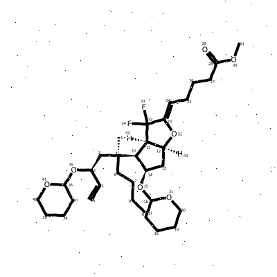 C=C[C@H](C[C@](C)(CCCC)[C@H]1[C@@H]2[C@H](C[C@H]1OC1CCCCO1)OC(=CCCCC(=O)OC)C2(F)F)OC1CCCCO1